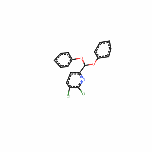 Clc1ccc(C(Oc2ccccc2)Oc2ccccc2)nc1Cl